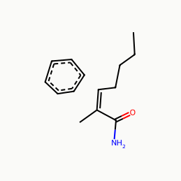 CCCCC=C(C)C(N)=O.c1ccccc1